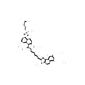 CCCCN1/C(=C/C=C/C=C/C2=[N+](CCCC)c3ccc4c(S(=O)(=O)N(C)CCCC(=O)C(C)C)cccc4c3C2(C)C)C(C)(C)c2c1ccc1c(S(=O)(=O)O)cc(S(=O)(=O)O)cc21